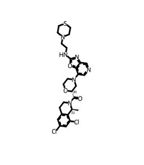 C[C@H]1c2c(Cl)cc(Cl)cc2CCN1C(=O)[C@H]1CN(c2cncc3nc(NCCN4CCSCC4)oc23)CCO1